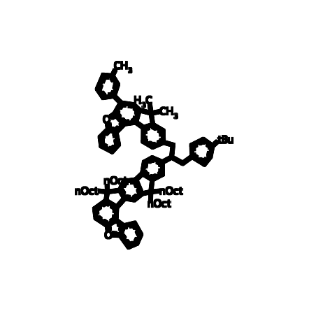 CCCCCCCCC1(CCCCCCCC)c2cc(C(Cc3ccc(C(C)(C)C)cc3)Cc3ccc4c(c3)C(C)(C)c3cc(-c5cccc(C)c5)c5oc6ccccc6c5c3-4)ccc2-c2cc3c(cc21)-c1c(ccc2oc4ccccc4c12)C3(CCCCCCCC)CCCCCCCC